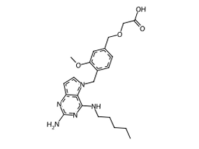 CCCCCNc1nc(N)nc2ccn(Cc3ccc(COCC(=O)O)cc3OC)c12